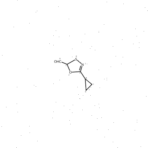 O=CC1OC(C2CC2)=NS1